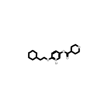 O=C(Oc1ccc(OCCC2CCCCC2)nc1)C1CCOCC1.[Li]